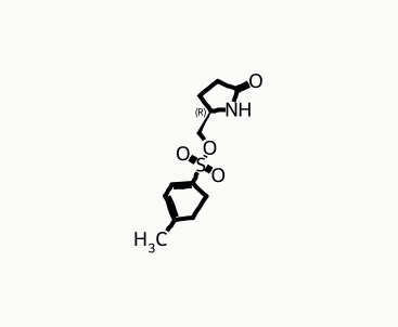 CC1=CC=C(S(=O)(=O)OC[C@H]2CCC(=O)N2)CC1